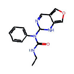 CCNC(=O)N(c1ccccc1)C1N=Cc2cocc2N1